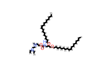 CCCCCCCC/C=C\CCCCCCCCOCC(CNC(=O)OCCN(C)CCN(CC)CC)OCCCCCCCC/C=C\CCCCCCCC